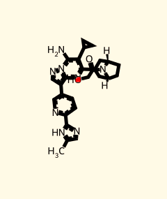 Cc1cnc(-c2ccc(-c3cnn4c(N)c(C5CC5)c(C5C[C@H]6CC[C@@H](C5)N6C(=O)CO)nc34)cn2)[nH]1